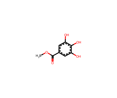 BOC(=O)c1cc(O)c(O)c(O)c1